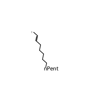 [CH]/C=C/CCCCCCCCCC